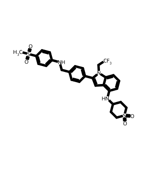 CS(=O)(=O)c1ccc(NCc2ccc(-c3cc4c(NC5CCS(=O)(=O)CC5)cccc4n3CC(F)(F)F)cc2)cc1